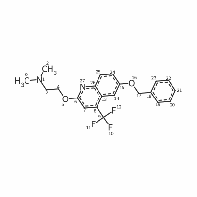 CN(C)CCOc1cc(C(F)(F)F)c2cc(OCc3ccccc3)ccc2n1